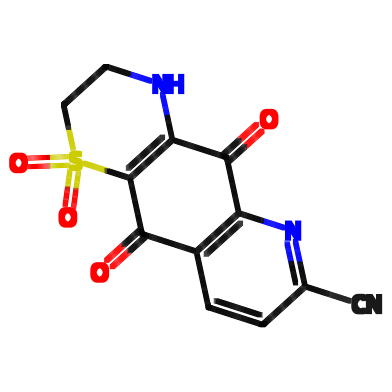 N#Cc1ccc2c(n1)C(=O)C1=C(C2=O)S(=O)(=O)CCN1